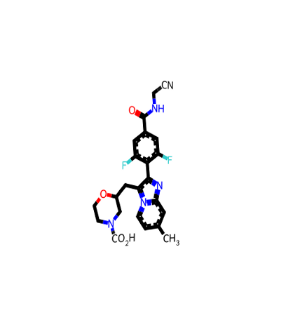 Cc1ccn2c(CC3CN(C(=O)O)CCO3)c(-c3c(F)cc(C(=O)NCC#N)cc3F)nc2c1